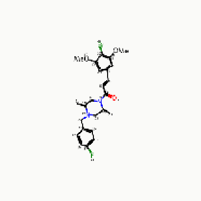 COc1cc(C=CC(=O)N2CC(C)N(Cc3ccc(F)cc3)CC2C)cc(OC)c1Br